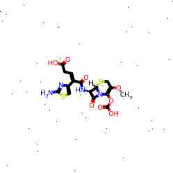 COC1=C(OC(=O)O)N2C(=O)[C@@H](NC(=O)C(=CCC(=O)O)c3csc(N)n3)[C@@H]2SC1